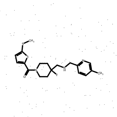 CSc1ccc(C(=O)N2CCC(F)(CNCc3ccc(C)cn3)CC2)s1